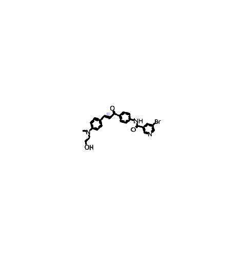 CN(CCO)c1ccc(/C=C/C(=O)c2ccc(NC(=O)c3cncc(Br)c3)cc2)cc1